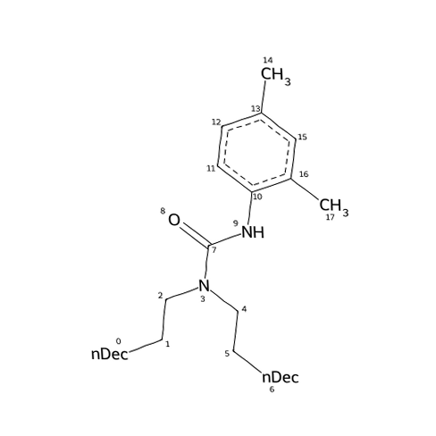 CCCCCCCCCCCCN(CCCCCCCCCCCC)C(=O)Nc1ccc(C)cc1C